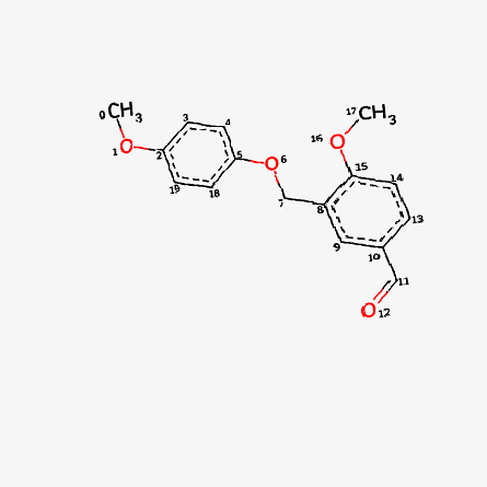 COc1ccc(OCc2cc(C=O)ccc2OC)cc1